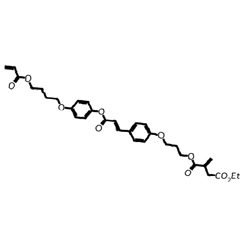 C=CC(=O)OCCCCOc1ccc(OC(=O)/C=C/c2ccc(OCCCOC(=O)C(=C)CC(=O)OCC)cc2)cc1